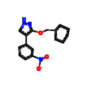 O=[N+]([O-])c1cccc(-c2c[nH]nc2OCc2ccccc2)c1